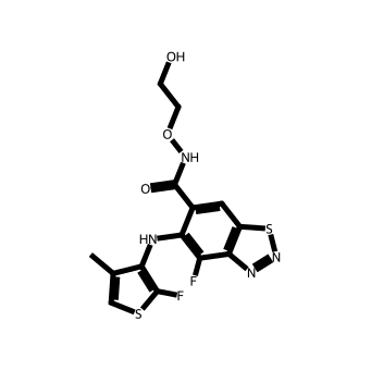 Cc1csc(F)c1Nc1c(C(=O)NOCCO)cc2snnc2c1F